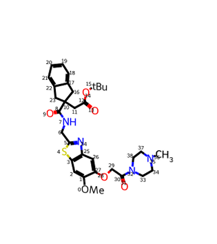 COc1cc2sc(CNC(=O)C3(CC(=O)OC(C)(C)C)Cc4ccccc4C3)nc2cc1OCC(=O)N1CCN(C)CC1